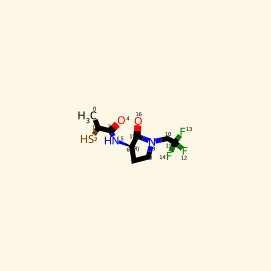 CC(S)C(=O)N[C@@H]1CCN(CC(F)(F)F)C1=O